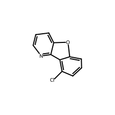 Clc1cccc2oc3cccnc3c12